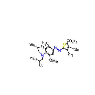 CCCCC(CC)CN(CC(CC)CCCC)c1cc(C)c(/N=N/c2sc(C(=O)OCC)c(C(C)(C)C)c2C#N)cc1OC